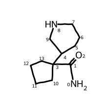 NC(=O)C1(C2CCCNC2)CCCC1